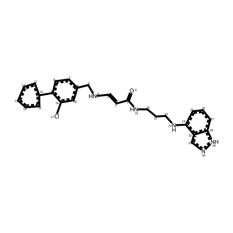 O=C(C=CNCc1ccc(-c2ccccc2)c(Cl)c1)NCCCNc1cccc2[nH]ncc12